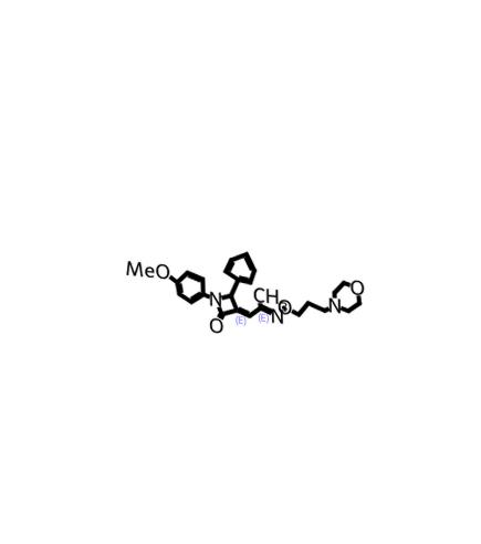 COc1ccc(N2C(=O)/C(=C/C(C)=N/OCCCN3CCOCC3)C2c2ccccc2)cc1